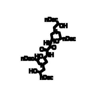 CCCCCCCCCCC(O)CN(CCNC(=O)C(=O)NCCN(CC(O)CCCCCCCCCC)CC(O)CCCCCCCCCC)CC(O)CCCCCCCCCC